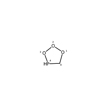 C1OOOP1